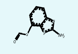 Nc1nc2cccc(OC=O)c2s1